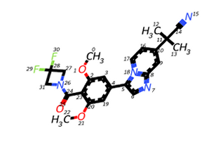 COc1cc(-c2cnc3cc(C(C)(C)C#N)ccn23)cc(OC)c1C(=O)N1CC(F)(F)C1